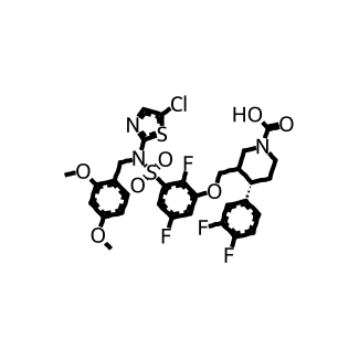 COc1ccc(CN(c2ncc(Cl)s2)S(=O)(=O)c2cc(F)cc(OCC3CN(C(=O)O)CC[C@@H]3c3ccc(F)c(F)c3)c2F)c(OC)c1